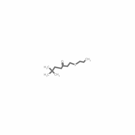 CCCSCCC(=O)CCC(C)(C)C